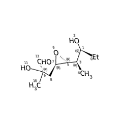 CC[C@H](O)[C@@H](C)[C@H]1O[C@@H]1C[C@@](C)(O)C=O